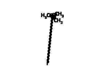 CCO[Si](CCCCCCCCCCCCCCCCCCCCCCCCCCCCCCI)(OCC)OCC